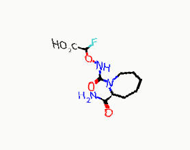 NC(=O)[C@@H]1CCCCCN1C(=O)NOC(F)C(=O)O